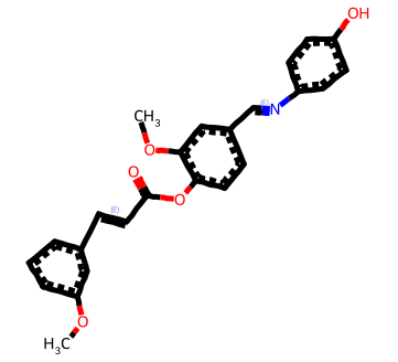 COc1cccc(/C=C/C(=O)Oc2ccc(/C=N/c3ccc(O)cc3)cc2OC)c1